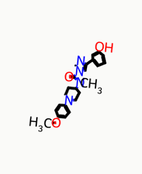 COc1ccc(N2CCC(N(C)C(=O)n3cnc(-c4cccc(O)c4)c3)CC2)cc1